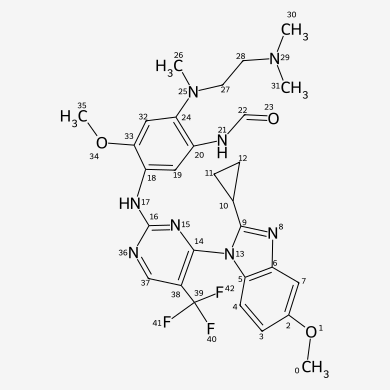 COc1ccc2c(c1)nc(C1CC1)n2-c1nc(Nc2cc(NC=O)c(N(C)CCN(C)C)cc2OC)ncc1C(F)(F)F